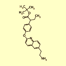 CCC(C(=O)OC(C)(C)C)c1ccc(Oc2ccc3cc(CCN)ccc3n2)cc1